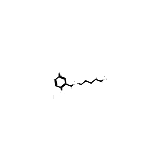 CCOc1ccc(Cl)cc1CNCCCCCN